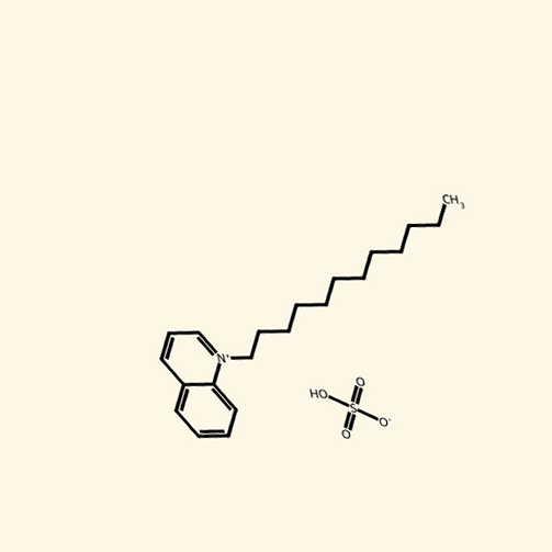 CCCCCCCCCCCC[n+]1cccc2ccccc21.O=S(=O)([O-])O